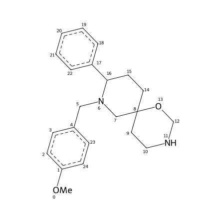 COc1ccc(CN2CC3(CCNCO3)CCC2c2ccccc2)cc1